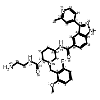 COc1cccc(F)c1CN1C[C@H](NC(=O)c2ccc3[nH]nc(-c4ccnc(C)c4)c3c2)CC[C@H]1C(=O)NCCN